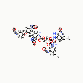 CCC(COC(=O)Nc1ccc(C)c(N=C=O)c1)(COC(=O)Nc1ccc(C)c(N=C=O)c1)COC(=O)Nc1ccc(Cc2cc(N=C=O)ccc2Oc2ccc(N=C=O)cc2)c(N=C=O)c1